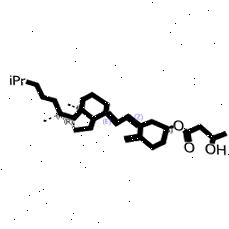 C=C1CC[C@H](OC(=O)CC(C)O)C/C1=C/C=C1\CCC[C@@]2(C)C1CC[C@@H]2[C@H](C)CCCC(C)C